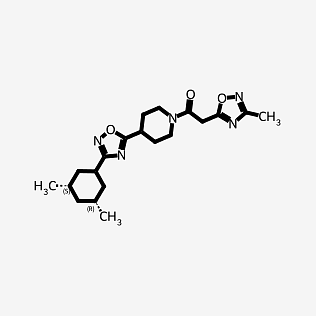 Cc1noc(CC(=O)N2CCC(c3nc(C4C[C@@H](C)C[C@@H](C)C4)no3)CC2)n1